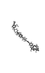 COc1cc(OC2CCC(NC(=O)c3ccc(N4CC5(CC(C#Cc6ccc(C7=NC8(CC8)c8nnc(C)n8-c8sc(C)c(C)c87)cc6)C5)C4)nn3)CC2)ccc1C#N